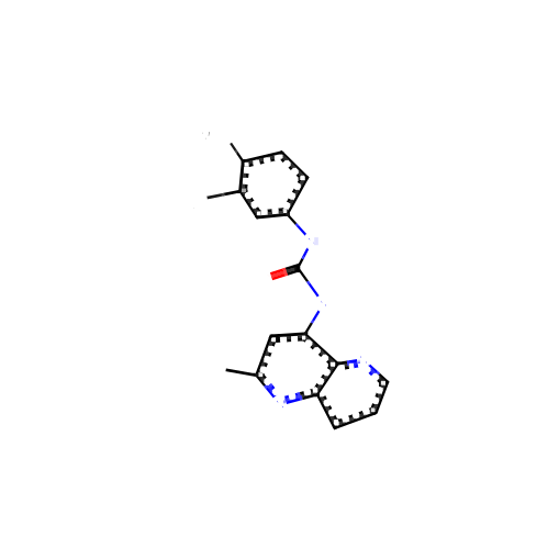 COc1ccc(NC(=O)Nc2cc(C)nc3cccnc23)cc1C(=O)O